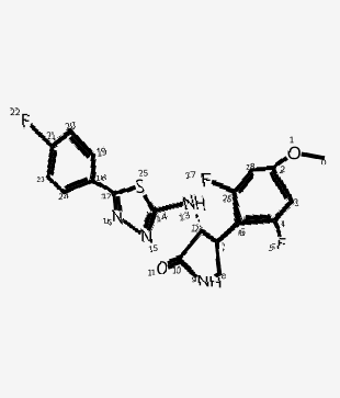 COc1cc(F)c(C2CNC(=O)[C@@H]2Nc2nnc(-c3ccc(F)cc3)s2)c(F)c1